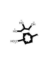 Cc1ccc(C(=O)O)cc1.OCC(O)CO